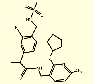 CC(C(=O)NCc1ccc(C(F)(F)F)nc1SC1CCCC1)c1ccc(CNS(C)(=O)=O)c(F)c1